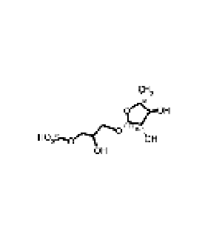 C[C@H]1O[C@@H](OCC(O)COS(=O)(=O)O)[C@@H](O)C1O